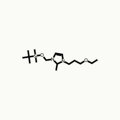 CCOCCCN1C=CN(CO[Si](C)(C)C(C)(C)C)C1C